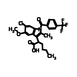 CCCCC(C(=O)O)c1c(C)n(C(=O)c2ccc(C(F)(F)F)cc2)c2cc(Cl)c(OC)cc12